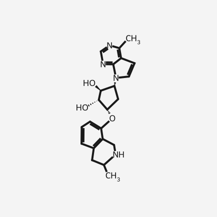 Cc1ncnc2c1ccn2[C@@H]1C[C@H](Oc2cccc3c2CNC(C)C3)[C@H](O)[C@H]1O